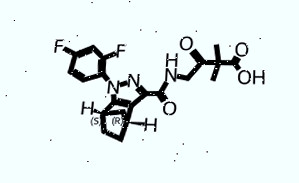 CC(C)(C(=O)O)C(=O)CNC(=O)c1nn(-c2ccc(F)cc2F)c2c1[C@@H]1CC[C@H]2C1